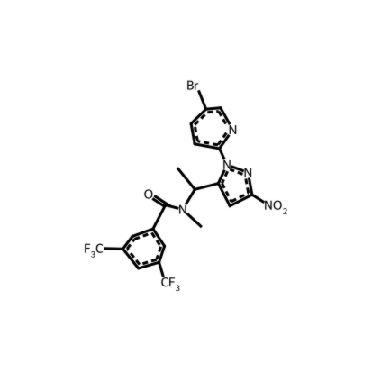 CC(c1cc([N+](=O)[O-])nn1-c1ccc(Br)cn1)N(C)C(=O)c1cc(C(F)(F)F)cc(C(F)(F)F)c1